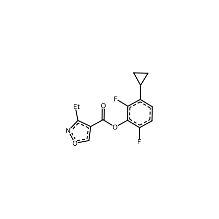 CCc1nocc1C(=O)Oc1c(F)ccc(C2CC2)c1F